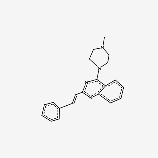 CN1CCN(c2nc(/C=C/c3ccccc3)nc3ccccc23)CC1